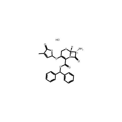 CC1=CC(OC2=C(C(=O)OC(c3ccccc3)c3ccccc3)N3C(=O)[C@@H](N)[C@H]3SC2)OC1=O.Cl